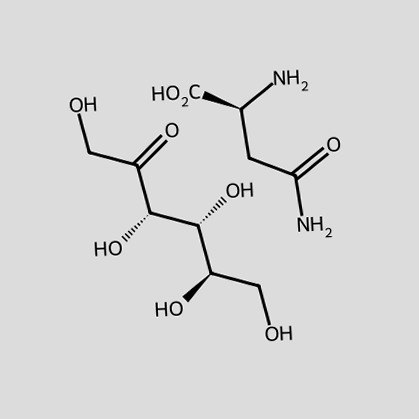 NC(=O)C[C@H](N)C(=O)O.O=C(CO)[C@@H](O)[C@H](O)[C@H](O)CO